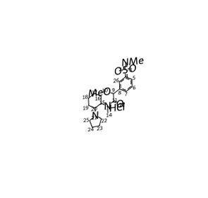 CNS(=O)(=O)c1cccc(C(OC)C(=O)N(C)C2CCCCC2N2CCCC2)c1.Cl